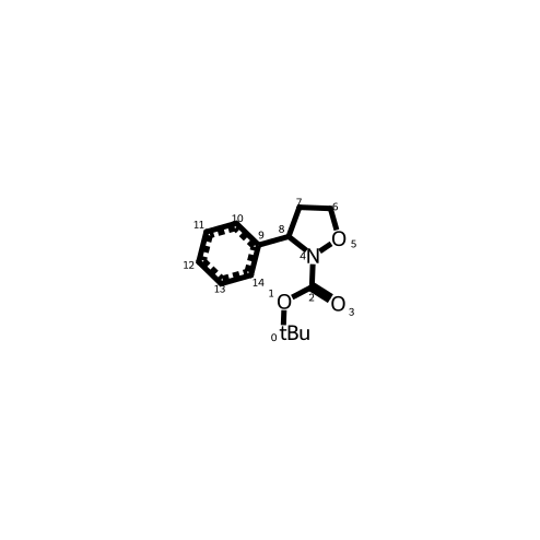 CC(C)(C)OC(=O)N1OCCC1c1ccccc1